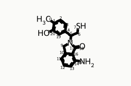 Cc1ccc(C(CS)N2Cc3cccc(N)c3C2=O)cc1O